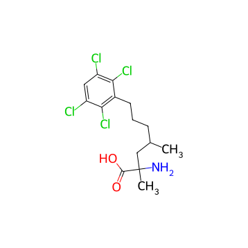 CC(CCCc1c(Cl)c(Cl)cc(Cl)c1Cl)CC(C)(N)C(=O)O